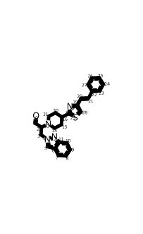 O=CC(Cn1cc2ccccc2n1)N1CCC(c2nc(C=Cc3ccccc3)cs2)CC1